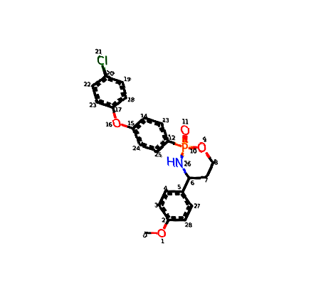 COc1ccc(C2CCOP(=O)(c3ccc(Oc4ccc(Cl)cc4)cc3)N2)cc1